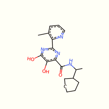 Cc1cccnc1-c1nc(O)c(O)c(C(=O)NC(C)C2CCCCC2)n1